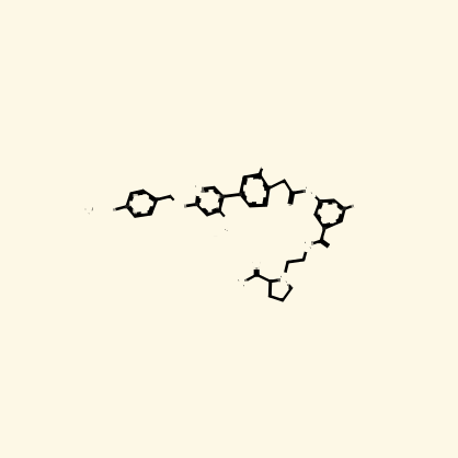 CCOc1cc(OCc2ccc(OC)cc2)ncc1-c1ccc(CC(=O)Nc2cc(C(=O)NCCN3CCCC3C(N)=O)cc(C(F)(F)F)c2)c(F)c1